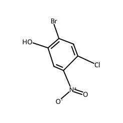 O=[N+]([O-])c1cc(O)c(Br)cc1Cl